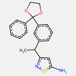 CC(c1cccc(C2(c3ccccc3)OCCO2)c1)c1cc(N)sn1